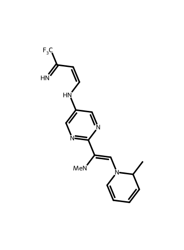 CN/C(=C\N1C=CC=CC1C)c1ncc(N/C=C\C(=N)C(F)(F)F)cn1